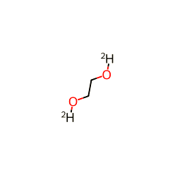 [2H]OCCO[2H]